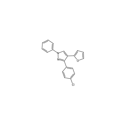 Clc1ccc(-c2nn(-c3ccccc3)cc2-c2ccco2)cc1